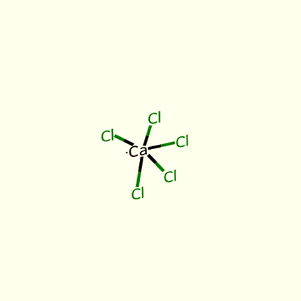 [Cl][Ca]([Cl])([Cl])([Cl])[Cl]